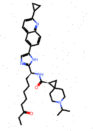 CCC(=O)CCCCC[C@H](NC(=O)[C@H]1CC12CCN(C(C)C)CC2)c1ncc(-c2ccc3nc(C4CC4)ccc3c2)[nH]1